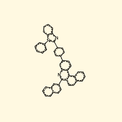 c1ccc(-n2c(-c3ccc(-c4ccc5c(c4)nc(-c4ccc6ccccc6c4)c4ccc6ccccc6c45)cc3)nc3ccccc32)cc1